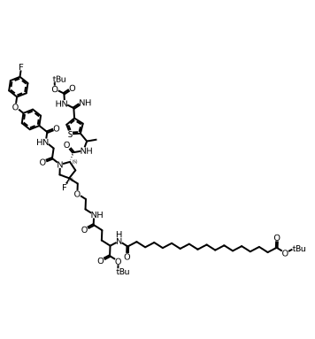 CC(NC(=O)[C@@H]1C[C@](F)(COCCNC(=O)CCC(NC(=O)CCCCCCCCCCCCCCCCC(=O)OC(C)(C)C)C(=O)OC(C)(C)C)CN1C(=O)CNC(=O)c1ccc(Oc2ccc(F)cc2)cc1)c1cc(C(=N)NC(=O)OC(C)(C)C)cs1